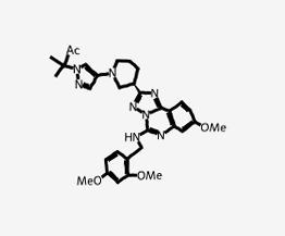 COc1ccc(CNc2nc3cc(OC)ccc3c3nc([C@@H]4CCCN(c5cnn(C(C)(C)C(C)=O)c5)C4)nn23)c(OC)c1